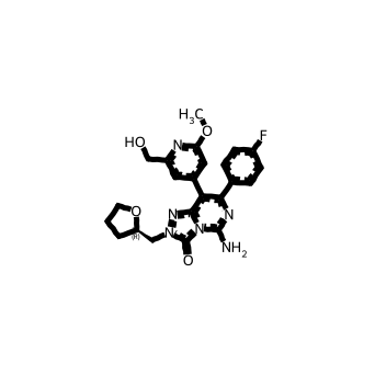 COc1cc(-c2c(-c3ccc(F)cc3)nc(N)n3c(=O)n(C[C@H]4CCCO4)nc23)cc(CO)n1